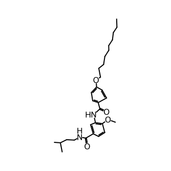 CCCCCCCCCCOc1ccc(C(=O)Nc2cc(C(=O)NCCC(C)C)ccc2OC)cc1